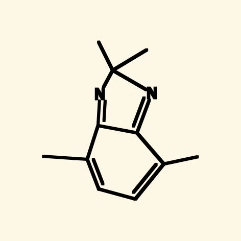 Cc1ccc(C)c2c1=NC(C)(C)N=2